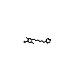 Cc1cc(CCCCCCc2ccncc2)c(C)cc1Br